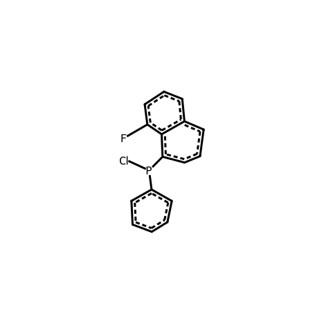 Fc1cccc2cccc(P(Cl)c3ccccc3)c12